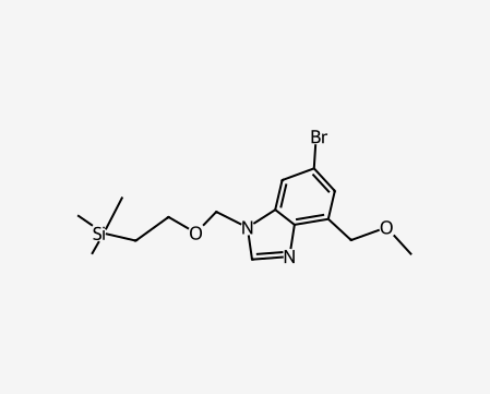 COCc1cc(Br)cc2c1ncn2COCC[Si](C)(C)C